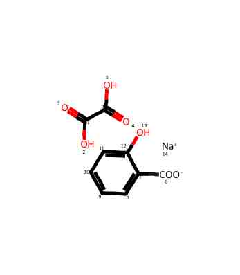 O=C(O)C(=O)O.O=C([O-])c1ccccc1O.[Na+]